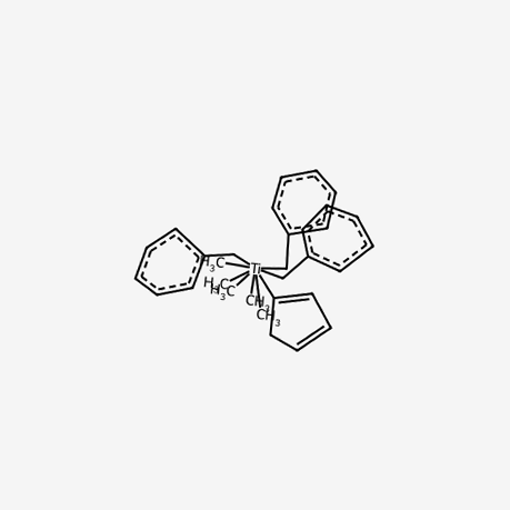 [CH3][Ti]([CH3])([CH3])([CH3])([CH3])([CH2]c1ccccc1)([CH2]c1ccccc1)([CH2]c1ccccc1)[C]1=CC=CC1